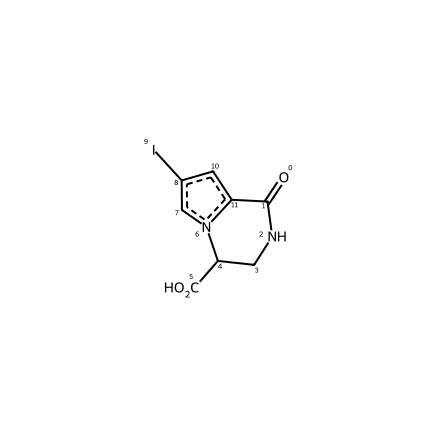 O=C1NCC(C(=O)O)n2cc(I)cc21